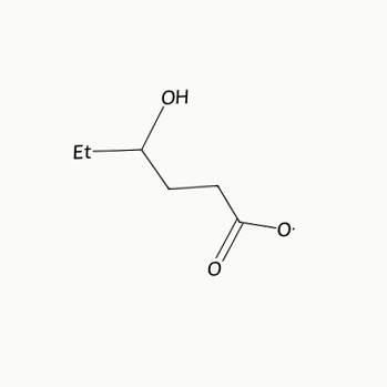 CCC(O)CCC([O])=O